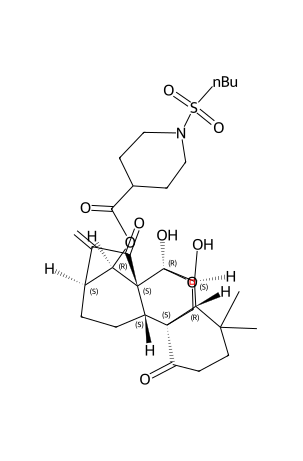 C=C1C(=O)[C@]23[C@H](OC(=O)C4CCN(S(=O)(=O)CCCC)CC4)[C@H]1CC[C@H]2[C@@]12CO[C@@]3(O)[C@@H](O)[C@@H]1C(C)(C)CCC2=O